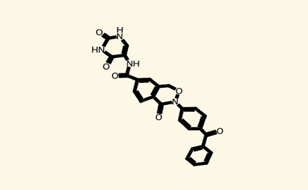 O=C(Nc1c[nH]c(=O)[nH]c1=O)c1ccc2c(c1)CON(c1ccc(C(=O)c3ccccc3)cc1)C2=O